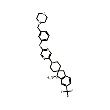 N[C@@H]1c2cc(C(F)(F)F)ccc2CC12CCN(c1cnc(Sc3cccc(CN4CCOCC4)c3)cn1)CC2